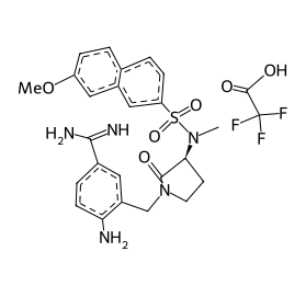 COc1ccc2ccc(S(=O)(=O)N(C)[C@H]3CCN(Cc4cc(C(=N)N)ccc4N)C3=O)cc2c1.O=C(O)C(F)(F)F